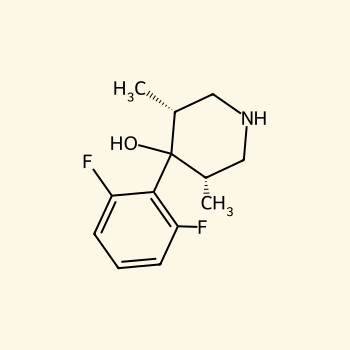 C[C@@H]1CNC[C@H](C)C1(O)c1c(F)cccc1F